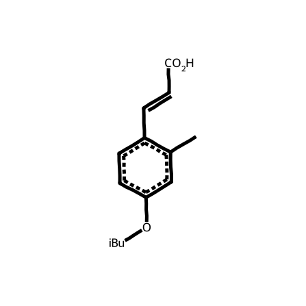 CCC(C)Oc1ccc(/C=C/C(=O)O)c(C)c1